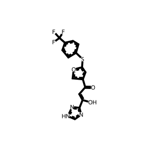 O=C(C=C(O)c1nc[nH]n1)c1coc(Sc2ccc(C(F)(F)F)cc2)c1